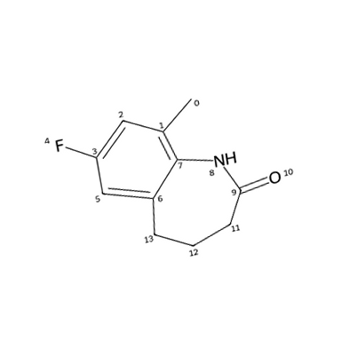 Cc1cc(F)cc2c1NC(=O)CCC2